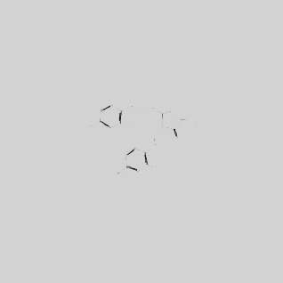 COC1OC(COCc2ccc(Cl)cc2Cl)C(OCc2ccc(Cl)cc2Cl)C1=O